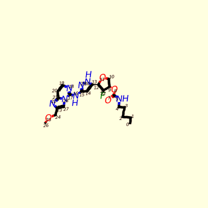 CCCCCNC(=O)O[C@@H]1CO[C@H](c2cc(Nc3nccc4nc(COC)cn34)n[nH]2)[C@@H]1F